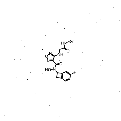 CC(C)NC(=O)CNc1nonc1C(=O)N(O)C1Cc2ccc(F)cc21